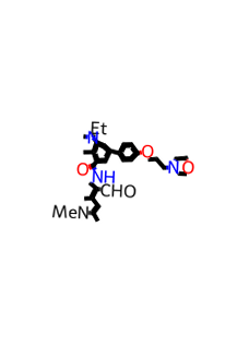 CCN(C)c1cc(-c2ccc(OCCCN3CCOCC3)cc2)cc(C(=O)NC/C(C=O)=C(C)/C=C(/C)NC)c1C